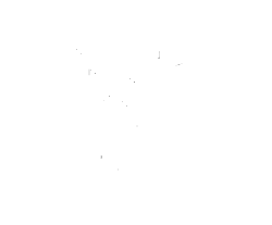 COc1ccc(F)cc1S(=O)(=O)N1CC(NC(=O)NC(C)(C)C)C(=O)N2C(Cc3ccc(Cl)cc3)C(=O)N(C(C)C)CC21